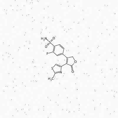 Cc1nc(C2=C(c3ccc(S(N)(=O)=O)c(F)c3)COC2=O)cs1